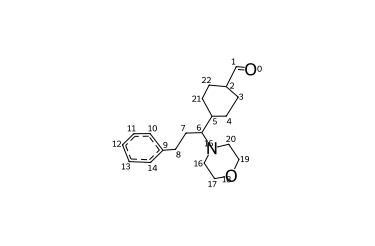 O=CC1CCC(C(CCc2ccccc2)N2CCOCC2)CC1